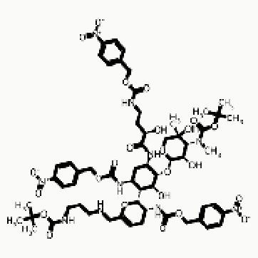 CN(C(=O)OC(C)(C)C)[C@@H]1[C@@H](O)[C@@H](O[C@H]2[C@H](NC(=O)[C@H](O)CCNC(=O)OCc3ccc([N+](=O)[O-])cc3)C[C@H](NC(=O)OCc3ccc([N+](=O)[O-])cc3)C([C@H]3OC(CNCCCNC(=O)OC(C)(C)C)=CC[C@H]3NC(=O)OCc3ccc([N+](=O)[O-])cc3)[C@@H]2O)OC[C@]1(C)O